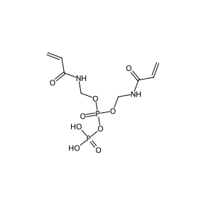 C=CC(=O)NCOP(=O)(OCNC(=O)C=C)OP(=O)(O)O